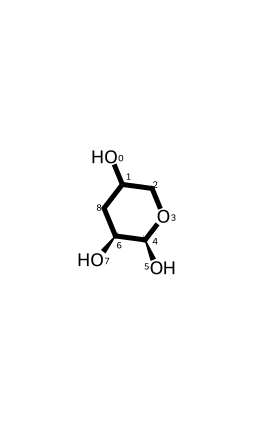 OC1CO[C@@H](O)[C@@H](O)C1